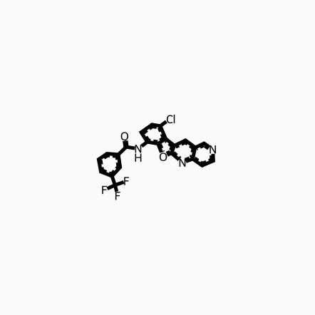 O=C(Nc1ccc(Cl)c2c1oc1nc3ccncc3cc12)c1cccc(C(F)(F)F)c1